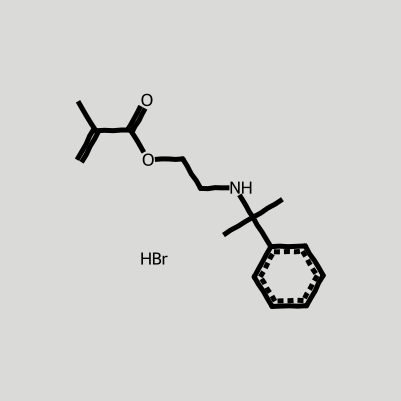 Br.C=C(C)C(=O)OCCNC(C)(C)c1ccccc1